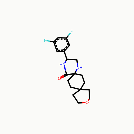 O=C1NC(c2cc(F)cc(F)c2)CNC12CCC1(CCOCC1)CC2